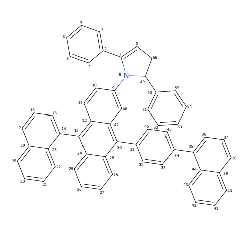 C1=C(c2ccccc2)N(c2ccc3c(-c4cccc5ccccc45)c4ccccc4c(-c4ccc(-c5cccc6ccccc56)cc4)c3c2)C(c2ccccc2)C1